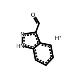 O=Cc1n[nH]c2ccccc12.[H+]